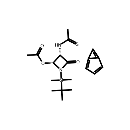 CC(=O)O[C@H]1[C@H](NC(C)=S)C(=O)N1[Si](C)(C)C(C)(C)C.c1cc2cc-2c1